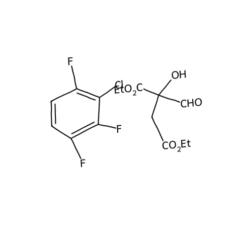 CCOC(=O)CC(O)(C=O)C(=O)OCC.Fc1ccc(F)c(Cl)c1F